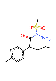 CCCC(C(=O)N(N)S(C)(=O)=O)c1ccc(C)cc1